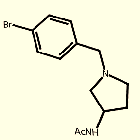 CC(=O)NC1CCN(Cc2ccc(Br)cc2)C1